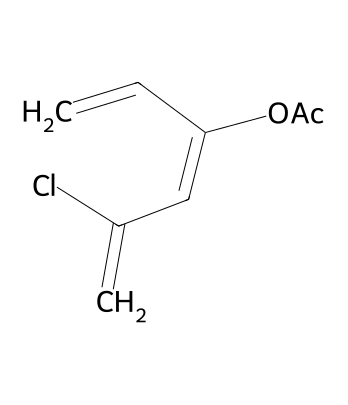 C=CC(=CC(=C)Cl)OC(C)=O